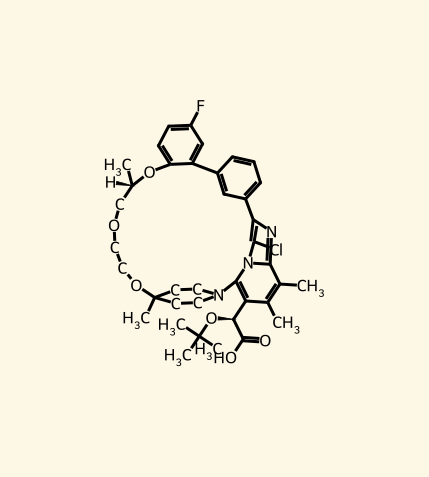 Cc1c([C@H](OC(C)(C)C)C(=O)O)c2n3c(Cl)c(nc3c1C)-c1cccc(c1)-c1cc(F)ccc1O[C@@H](C)COCCOC1(C)CCN2CC1